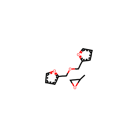 CC1CO1.c1coc(COCc2ccco2)c1